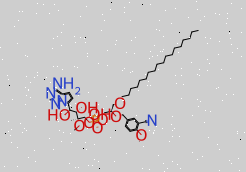 CCCCCCCCCCCCCCCCCCOC[C@H](COP(=O)(O)OC[C@@](C)(OC)[C@@H](O)[C@@H](O)c1ccc2c(N)ncnn12)OCc1ccc(OC)c(C#N)c1